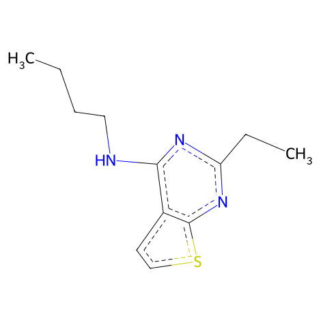 CCCCNc1nc(CC)nc2sccc12